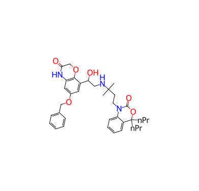 CCCC1(CCC)OC(=O)N(CCC(C)(C)NCC(O)c2cc(OCc3ccccc3)cc3c2OCC(=O)N3)c2ccccc21